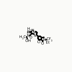 CC[C@H](N1Cc2cc(-c3ccn4nc(N)c(C(=O)N[C@H](C)CO)c4n3)cc(Cl)c2C1=O)C(F)(F)F